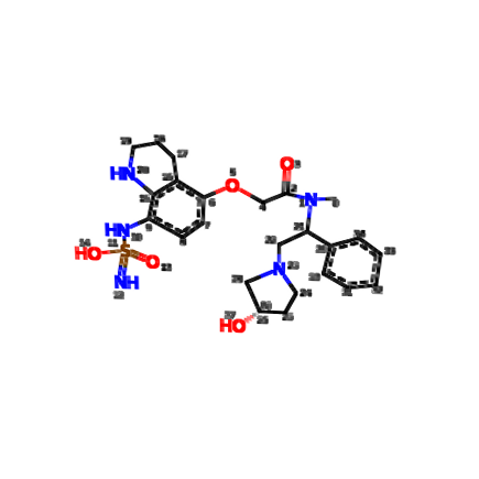 CN(C(=O)COc1ccc(NS(=N)(=O)O)c2c1CCCN2)C(CN1CC[C@H](O)C1)c1ccccc1